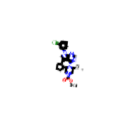 CC1CN(C(=O)OC(C)(C)C)CCN1c1ncnc2c1c(C1CCCC1)cn2-c1cccc(Cl)c1